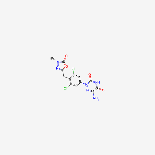 CC(C)n1nc(Cc2c(Cl)cc(-n3nc(N)c(=O)[nH]c3=O)cc2Cl)oc1=O